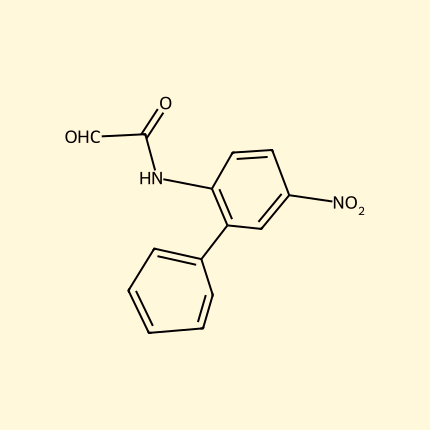 O=CC(=O)Nc1ccc([N+](=O)[O-])cc1-c1ccccc1